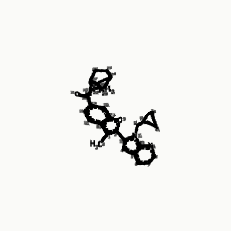 Cc1c(-c2cc3cccnc3n2CC2CC2)oc2cc(C(=O)N3CC4CCC3[C@@H]4N)ccc12